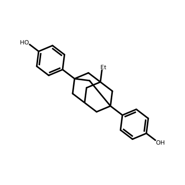 CCC12CC3CC(c4ccc(O)cc4)(C1)CC(c1ccc(O)cc1)(C3)C2